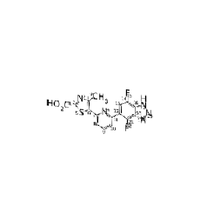 Cc1nc(C(=O)O)sc1-c1cccc(-c2cc(F)c3[nH]nnc3c2F)n1